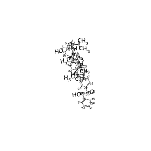 CC(C)[C@@H]1CC[C@]2(CO)CC[C@]3(C)[C@H](CC[C@@H]4[C@@]5(C)CC=C(c6ccc(C(=O)C(O)c7ccccc7)cc6)C(C)(C)[C@@H]5CC[C@]43C)[C@@H]12